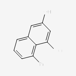 CC(C)(C)c1cc(O)cc2cccc(Br)c12